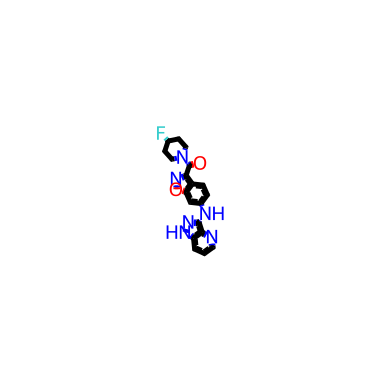 O=C(c1noc2cc(Nc3n[nH]c4cccnc34)ccc12)N1CCC(F)CC1